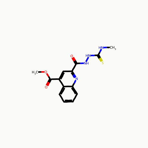 CNC(=S)NNC(=O)c1cc(C(=O)OC)c2ccccc2n1